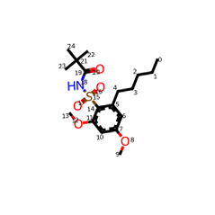 CCCCCc1cc(OC)cc(OC)c1S(=O)(=O)NC(=O)C(C)(C)C